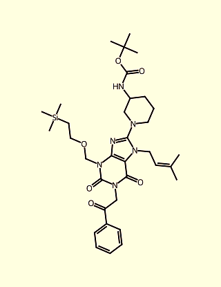 CC(C)=CCn1c(N2CCCC(NC(=O)OC(C)(C)C)C2)nc2c1c(=O)n(CC(=O)c1ccccc1)c(=O)n2COCC[Si](C)(C)C